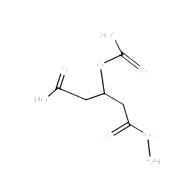 CC(=O)OC(CC(=O)O)CC(=O)OO